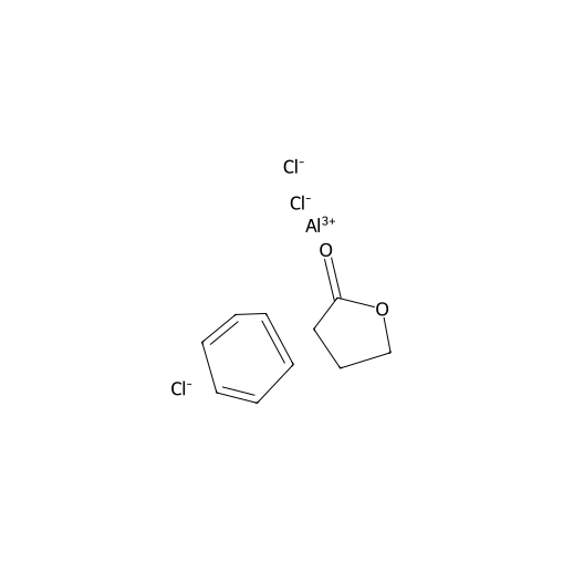 O=C1CCCO1.[Al+3].[Cl-].[Cl-].[Cl-].c1ccccc1